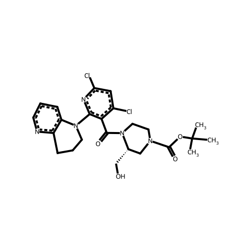 CC(C)(C)OC(=O)N1CCN(C(=O)c2c(Cl)cc(Cl)nc2N2CCCc3ncccc32)[C@@H](CO)C1